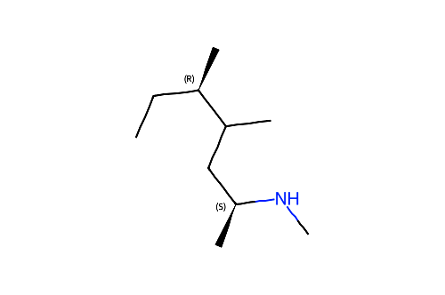 CC[C@@H](C)C(C)C[C@H](C)NC